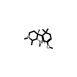 CN[C@@H]1C(C)N(C)CC[C@]1(C)C1=CC(OC)=CCC1(C)C